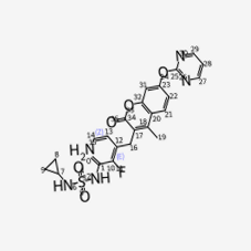 C=C(NS(=O)(=O)NC1CC1)/C(F)=C(\C=C/N)Cc1c(C)c2ccc(Oc3ncccn3)cc2oc1=O